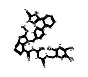 CCOc1nc2cccc(C(=O)OC(OC(=O)OCc3nc(C)c(C)nc3C)C(C)(C)C)c2n1Cc1ccc(-c2ccccc2-c2noc(=O)[nH]2)cc1